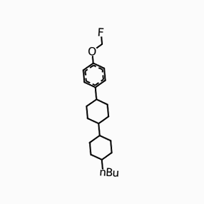 CCCCC1CCC(C2CCC(c3ccc(OCF)cc3)CC2)CC1